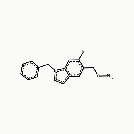 POCc1cc2ccn(Cc3ccccc3)c2cc1Br